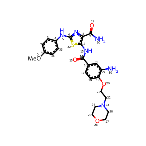 COc1ccc(Nc2nc(C(N)=O)c(NC(=O)c3ccc(OCCN4CCOCC4)c(N)c3)s2)cc1